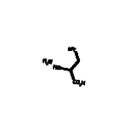 CCCCC(O)C(=O)O.[BiH3]